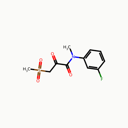 CN(C(=O)C(=O)CS(C)(=O)=O)c1cccc(F)c1